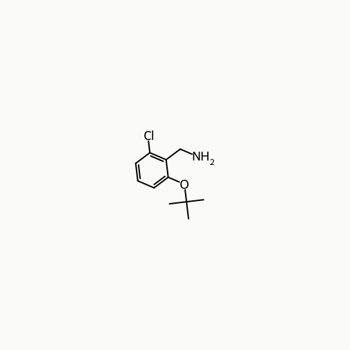 CC(C)(C)Oc1cccc(Cl)c1CN